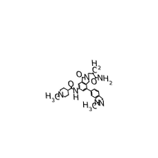 C=C(CN1Cc2c(cc(NC(=O)C3CCN(C)CC3)cc2-c2ccc3cnn(C)c3c2)C1=O)C(N)=O